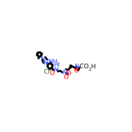 Cc1ccccc1N1CCN(c2cc(Cl)c(C(=O)NCCCN3CC(C4CC4c4nc(C(=O)O)co4)OC3=O)cc2N)CC1